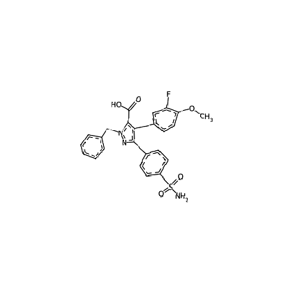 COc1ccc(-c2c(-c3ccc(S(N)(=O)=O)cc3)nn(Cc3ccccc3)c2C(=O)O)cc1F